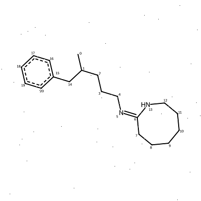 CC(CCCN=C1CCCCCCN1)Cc1ccccc1